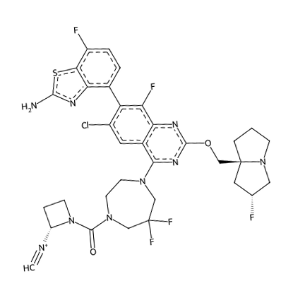 C#[N+][C@@H]1CCN1C(=O)N1CCN(c2nc(OC[C@@]34CCCN3C[C@H](F)C4)nc3c(F)c(-c4ccc(F)c5sc(N)nc45)c(Cl)cc23)CC(F)(F)C1